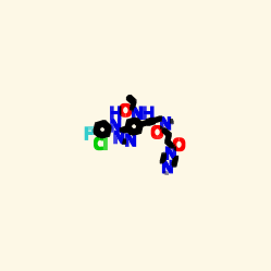 C=CC(=O)Nc1cc2c(Nc3ccc(F)c(Cl)c3)ncnc2cc1C#CCN(C)C(=O)CCC(=O)N1CCN(C)CC1